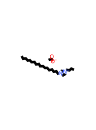 CC(=O)[O-].CCCCCCCCCCCCCCCCCCn1cc[n+](CCCC)c1